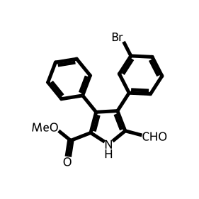 COC(=O)c1[nH]c(C=O)c(-c2cccc(Br)c2)c1-c1ccccc1